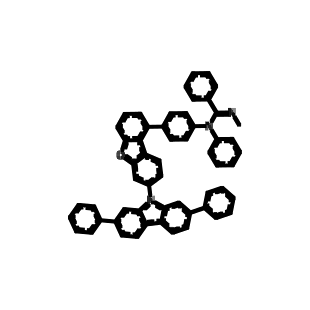 C/N=C(/c1ccccc1)N(c1ccccc1)c1ccc(-c2cccc3oc4cc(-n5c6cc(-c7ccccc7)ccc6c6ccc(-c7ccccc7)cc65)ccc4c23)cc1